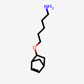 NCCCCCOC1CC2C=CC1C2